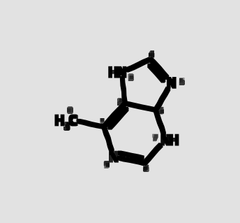 CC1=C2NC=NC2NC=N1